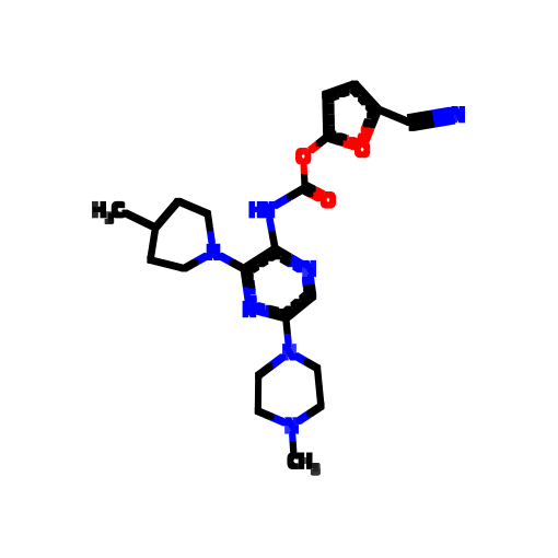 CC1CCN(c2nc(N3CCN(C)CC3)cnc2NC(=O)Oc2ccc(C#N)o2)CC1